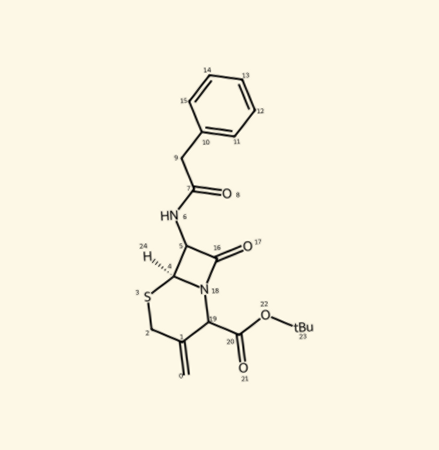 C=C1CS[C@H]2C(NC(=O)Cc3ccccc3)C(=O)N2C1C(=O)OC(C)(C)C